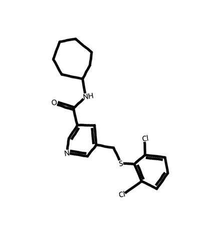 O=C(NC1CCCCCC1)c1cncc(CSc2c(Cl)cccc2Cl)c1